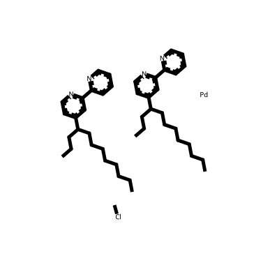 CCCCCCCCC(CCC)c1ccnc(-c2ccccn2)c1.CCCCCCCCC(CCC)c1ccnc(-c2ccccn2)c1.CCl.[Pd]